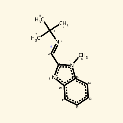 Cn1c(/C=N/C(C)(C)C)nc2ccccc21